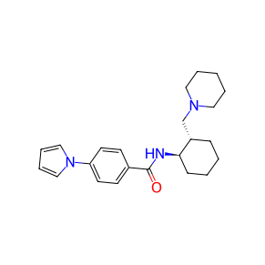 O=C(N[C@@H]1CCCC[C@H]1CN1CCCCC1)c1ccc(-n2cccc2)cc1